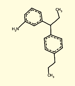 CCCc1ccc(C(CC)c2cccc(N)c2)cc1